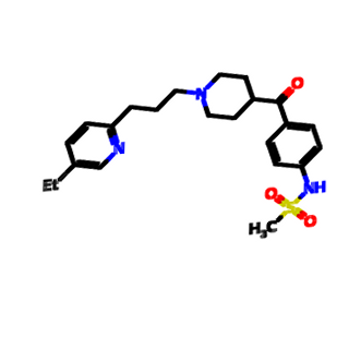 CCc1ccc(CCCN2CCC(C(=O)c3ccc(NS(C)(=O)=O)cc3)CC2)nc1